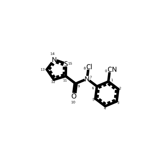 N#Cc1ccccc1N(Cl)C(=O)c1ccns1